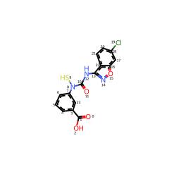 O=C(O)c1cccc(N(S)C(=O)Nc2noc3cc(Cl)ccc23)c1